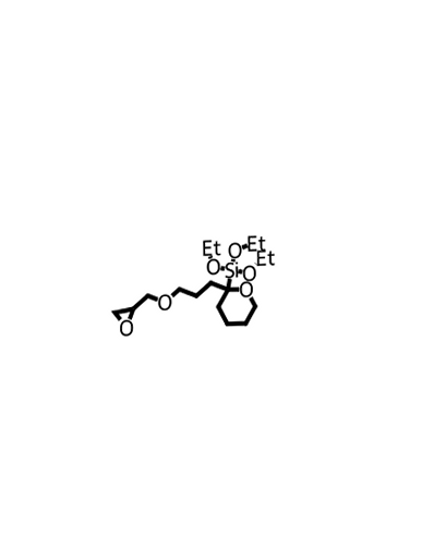 CCO[Si](OCC)(OCC)C1(CCCOCC2CO2)CCCCO1